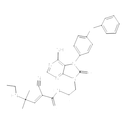 CCNC(C)(C)C=C(C#N)C(=O)N[C@@H](C)Cn1c(=O)n(-c2ccc(Oc3ccccc3)cc2)c2c(N)ncnc21